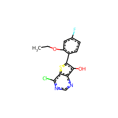 CCOc1cc(F)ccc1-c1sc2c(Cl)ncnc2c1O